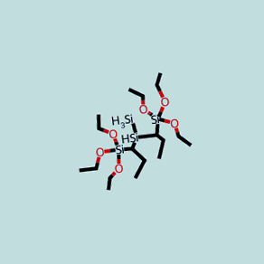 CCO[Si](OCC)(OCC)C(CC)[SiH]([SiH3])C(CC)[Si](OCC)(OCC)OCC